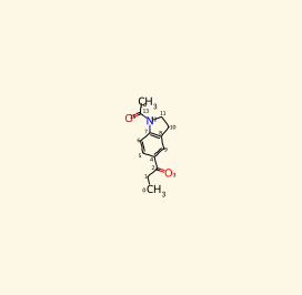 CCC(=O)c1ccc2c(c1)CCN2C(C)=O